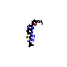 Cc1ccc(-c2cnc3ccc(NC(=S)NCC4CC4)nc3n2)o1